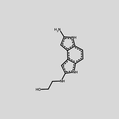 Nc1cc2c(ccc3[nH]c(NCCO)cc32)[nH]1